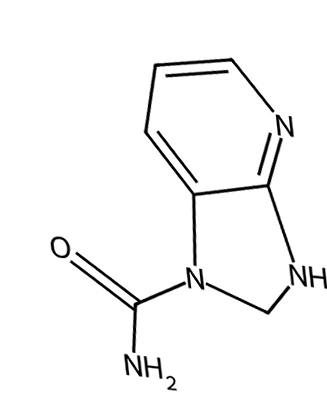 NC(=O)N1CNc2ncccc21